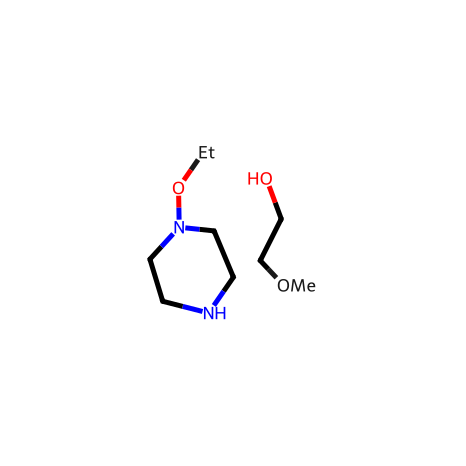 CCON1CCNCC1.COCCO